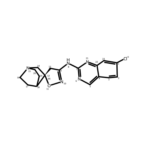 Clc1ccc2cnc(NC3=NO[C@@]4(C3)CN3CCC4CC3)nc2c1